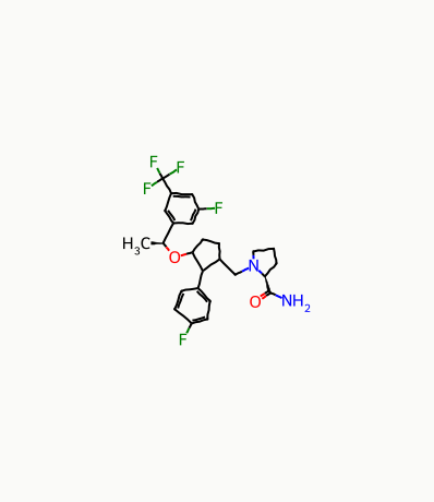 C[C@H](OC1CCC(CN2CCC[C@H]2C(N)=O)C1c1ccc(F)cc1)c1cc(F)cc(C(F)(F)F)c1